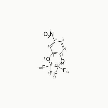 O=[N+]([O-])c1ccc2c(c1)OC(F)(F)C(F)(F)O2